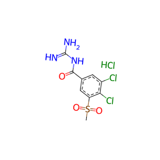 CS(=O)(=O)c1cc(C(=O)NC(=N)N)cc(Cl)c1Cl.Cl